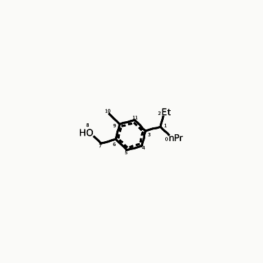 CCCC(CC)c1ccc(CO)c(C)c1